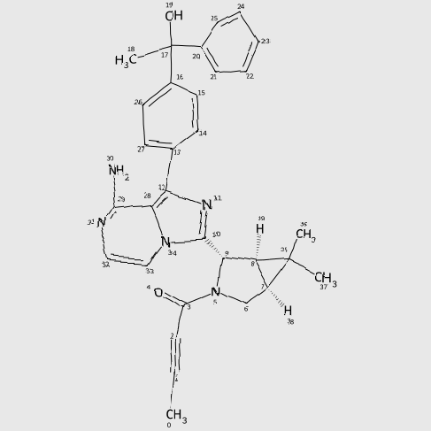 CC#CC(=O)N1C[C@H]2[C@@H]([C@H]1c1nc(-c3ccc(C(C)(O)c4ccccc4)cc3)c3c(N)nccn13)C2(C)C